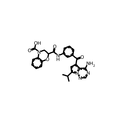 CC(C)c1cc(C(=O)c2cccc(NC(=O)C3CN(C(=O)O)c4ccccc4O3)c2)c2c(N)ncnn12